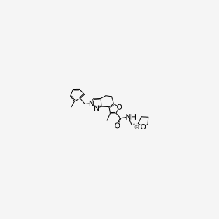 Cc1ccccc1Cn1cc2c(n1)-c1c(oc(C(=O)NC[C@@H]3CCCO3)c1C)CC2